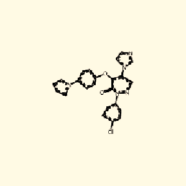 O=c1c(Oc2ccc(-n3cccc3)cc2)c(-n2ccnc2)cnn1-c1ccc(Cl)cc1